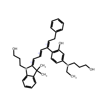 CCN(CCCO)c1ccc(C(=C\Cc2ccccc2)/C=C/C=C2/N(CCCO)c3ccccc3C2(C)C)c(O)c1